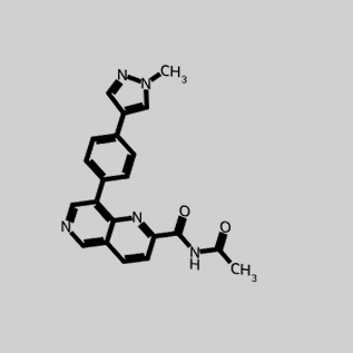 CC(=O)NC(=O)c1ccc2cncc(-c3ccc(-c4cnn(C)c4)cc3)c2n1